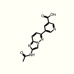 CC(=O)Nc1cn2nc(-c3cncc(C(=O)O)c3)ccc2n1